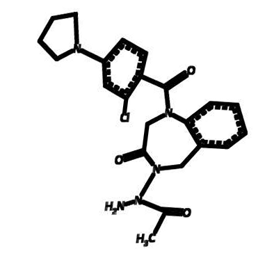 CC(=O)N(N)N1Cc2ccccc2N(C(=O)c2ccc(N3CCCC3)cc2Cl)CC1=O